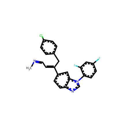 C/N=C\C=C(/Cc1ccc(Cl)cc1)c1ccc2ncn(-c3ccc(F)cc3F)c2c1